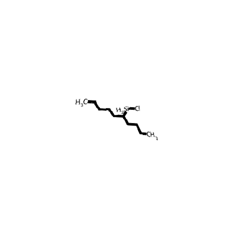 CCCCCC(CCCC)[SiH2]Cl